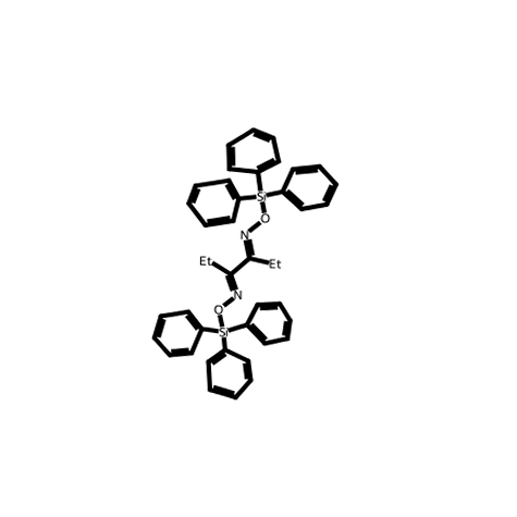 CCC(=N\O[Si](c1ccccc1)(c1ccccc1)c1ccccc1)/C(CC)=N/O[Si](c1ccccc1)(c1ccccc1)c1ccccc1